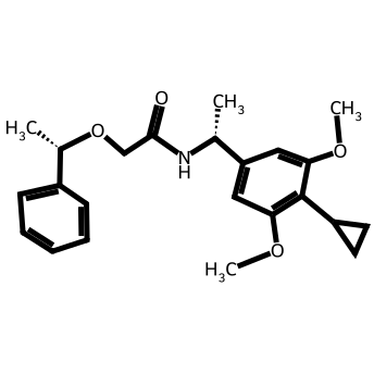 COc1cc([C@@H](C)NC(=O)CO[C@@H](C)c2ccccc2)cc(OC)c1C1CC1